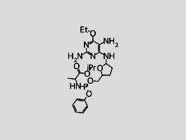 CCOc1nc(N)nc(NC2CCC(COP(NC(C)C(=O)OC(C)C)Oc3ccccc3)O2)c1N